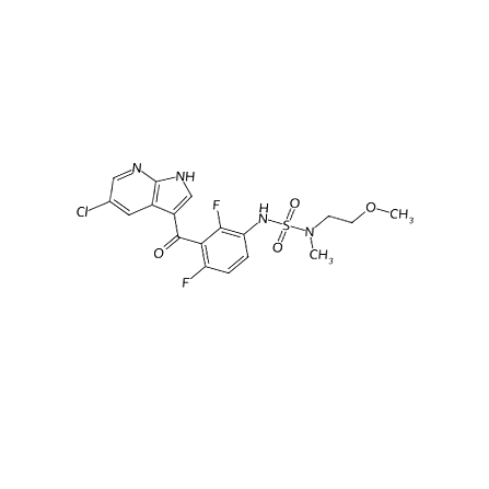 COCCN(C)S(=O)(=O)Nc1ccc(F)c(C(=O)c2c[nH]c3ncc(Cl)cc23)c1F